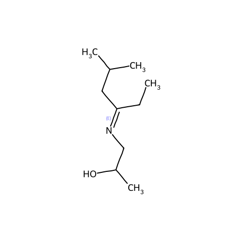 CC/C(CC(C)C)=N\CC(C)O